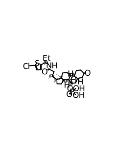 CC[C@@H](NC(=O)C[C@@H](C)[C@H]1CC[C@H]2[C@@H]3[C@H](OP(=O)(O)O)C[C@@H]4CC(=O)CC[C@]4(C)[C@H]3CC[C@]12C)c1ccc(Cl)s1